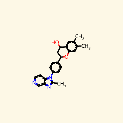 Cc1cc2c(cc1C)C(O)CC(c1ccc(-n3c(C)nc4cnccc43)cc1)O2